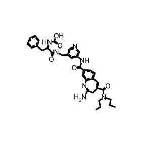 CCCN(CCC)C(=O)C1=Cc2ccc(C(=O)Nc3cncc(CNC(=O)C(Cc4ccccc4)NC(=O)O)c3)cc2N=C(N)C1